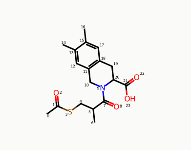 CC(=O)SCC(C)C(=O)N1Cc2cc(C)c(C)cc2CC1C(=O)O